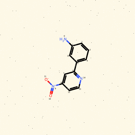 Nc1cccc(-c2cc([N+](=O)[O-])ccn2)c1